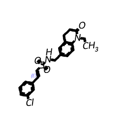 CCN1C(=O)CCc2cc(CNS(=O)(=O)/C=C/c3cccc(Cl)c3)ccc21